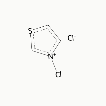 Cl[n+]1ccsc1.[Cl-]